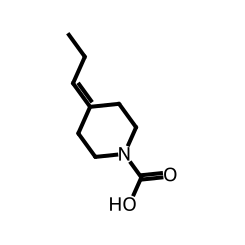 CCC=C1CCN(C(=O)O)CC1